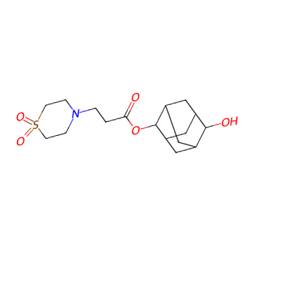 O=C(CCN1CCS(=O)(=O)CC1)OC1C2CC3CC1CC(C2)C3O